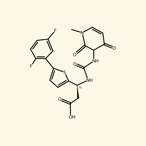 CN1C=CC(=O)C(NC(=O)N[C@@H](CC(=O)O)c2ccc(-c3cc(F)ccc3F)s2)C1=O